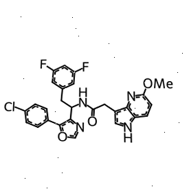 COc1ccc2[nH]cc(CC(=O)NC(Cc3cc(F)cc(F)c3)c3ncoc3-c3ccc(Cl)cc3)c2n1